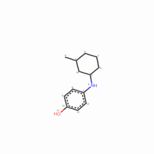 CC1CCCC(Nc2ccc(O)cc2)C1